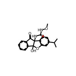 CONC(=O)NC12C(=O)c3ccccc3C1(O)Oc1cc(C(C)C)ccc12